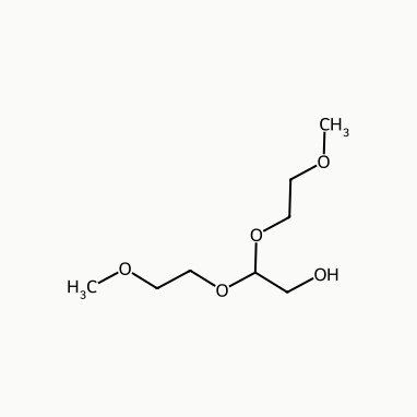 COCCOC(CO)OCCOC